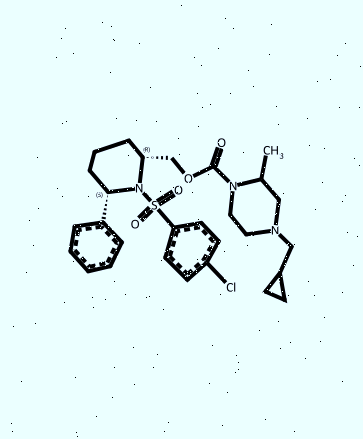 CC1CN(CC2CC2)CCN1C(=O)OC[C@H]1CCC[C@@H](c2ccccc2)N1S(=O)(=O)c1ccc(Cl)cc1